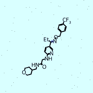 CC/C(=N\OCc1ccc(C(F)(F)F)cc1)c1ccc(NCC(=O)NCC2CCOCC2)nc1